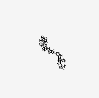 COC(=O)NC(C(=O)N1CCC[C@H]1c1nc2ccc(-c3cc4sc(-c5cnc([C@@H]6CCCN6C(=O)[C@@H](NC(=O)OC)C(C)C)[nH]5)cc4s3)cc2[nH]1)C(C)C